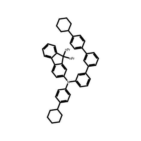 CCCC1(CCC)c2ccccc2-c2ccc(N(c3ccc(C4CCCCC4)cc3)c3cccc(-c4cccc(-c5ccc(C6CCCCC6)cc5)c4)c3)cc21